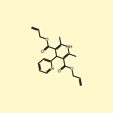 C=CCOC(=O)C1=C(C)NC(C)=C(C(=O)OCC=C)C1c1ccccn1